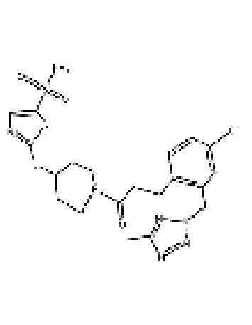 Cc1nnn(Cc2cc(C(F)(F)F)ccc2CCC(=O)N2CCC(Sc3ncc(S(N)(=O)=O)s3)CC2)n1